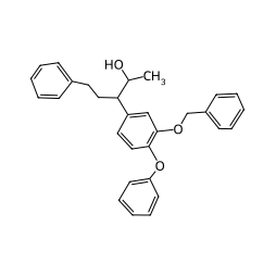 CC(O)C(CCc1ccccc1)c1ccc(Oc2ccccc2)c(OCc2ccccc2)c1